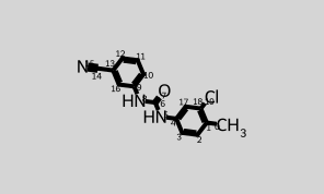 Cc1ccc(NC(=O)Nc2cccc(C#N)c2)cc1Cl